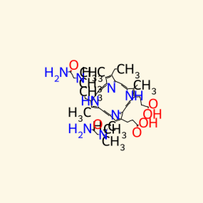 CCC1=C(C)c2cc3[nH]c(cc4nc(cc5[nH]c(cc1n2)c(C)c5CCC(=O)O)C(CCC(=O)O)=C4C)c(C)c3CC.CN(C)CC(N)=O.CN(C)CC(N)=O